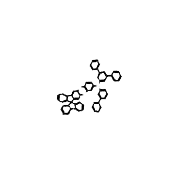 c1ccc(-c2cccc(N(c3cc(-c4ccccc4)cc(-c4ccccc4)c3)c3ccc4c(c3)Oc3cc5c(cc3O4)-c3ccccc3C53c4ccccc4-c4ccccc43)c2)cc1